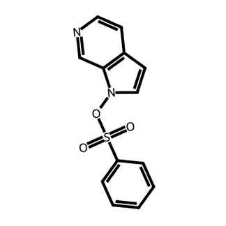 O=S(=O)(On1ccc2ccncc21)c1ccccc1